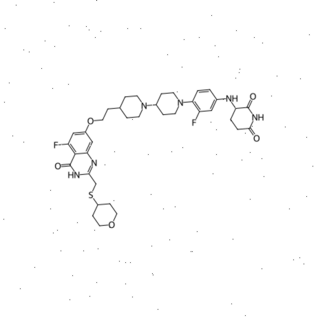 O=C1CCC(Nc2ccc(N3CCC(N4CCC(CCOc5cc(F)c6c(=O)[nH]c(CSC7CCOCC7)nc6c5)CC4)CC3)c(F)c2)C(=O)N1